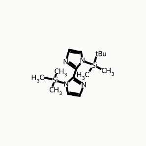 CC(C)(C)[Si](C)(C)n1ccnc1-c1nccn1[Si](C)(C)C